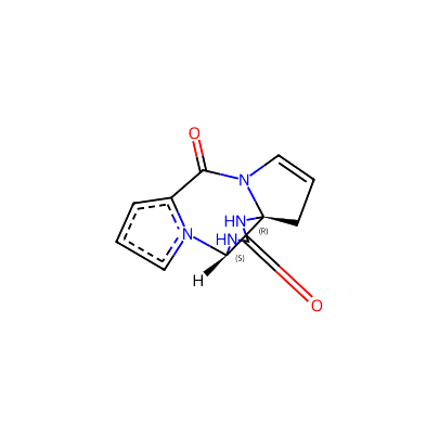 O=C1N[C@H]2n3cccc3C(=O)N3C=CC[C@]23N1